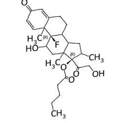 CCCCC(=O)O[C@]1(C(=O)CO)C(C)CC2C3CCC4=CC(=O)C=CC4(C)[C@@]3(F)C(O)CC21C